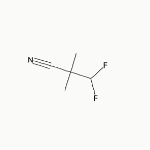 CC(C)(C#N)C(F)F